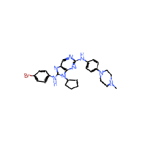 CN1CCN(c2ccc(Nc3ncc4nc(Nc5ccc(Br)cc5)n(C5CCCC5)c4n3)cc2)CC1